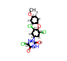 COc1ccc(Oc2c(Cl)cc(-n3nc(Cl)c(=O)[nH]c3=O)cc2Cl)cc1